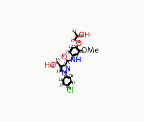 COc1cc(NC(=O)c2nn(-c3ccc(Cl)cc3)cc2CO)ccc1OCC(C)O